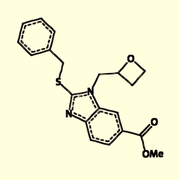 COC(=O)c1ccc2nc(SCc3ccccc3)n(CC3CCO3)c2c1